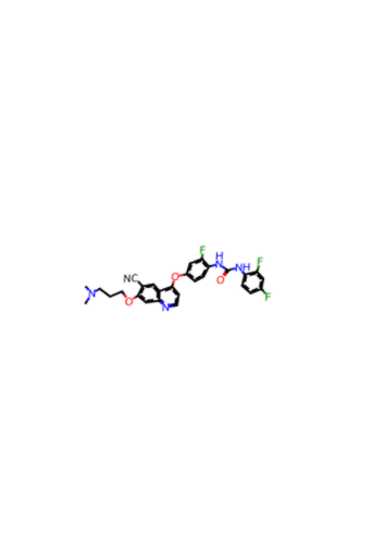 CN(C)CCCOc1cc2nccc(Oc3ccc(NC(=O)Nc4ccc(F)cc4F)c(F)c3)c2cc1C#N